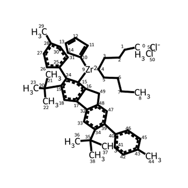 CCCC[C](CCCC)=[Zr+2]([C]1=CC=CC1)[c]1c2c(cc(C(C)(C)C)c1-c1ccc(C)cc1)-c1cc(C(C)(C)C)c(-c3ccc(C)cc3)cc1C2.[Cl-].[Cl-]